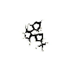 Fc1cc(F)c(-c2c(Cl)nnc(Cl)c2-c2cccc(C(F)(F)F)c2)c(F)c1